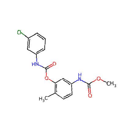 COC(=O)Nc1ccc(C)c(OC(=O)Nc2cccc(Cl)c2)c1